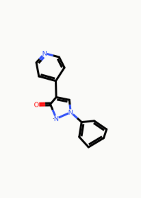 O=C1[N]N(c2ccccc2)C=C1c1ccncc1